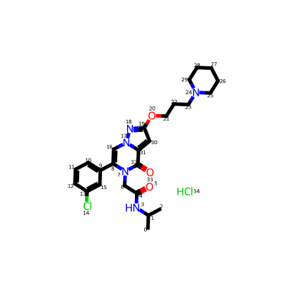 CC(C)NC(=O)Cn1c(-c2cccc(Cl)c2)cn2nc(OCCCN3CCCCC3)cc2c1=O.Cl